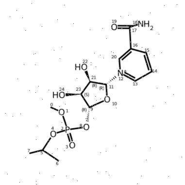 COP(=O)(OC(C)C)O[C@H]1O[C@@H]([n+]2cccc(C(N)=O)c2)[C@H](O)[C@@H]1O